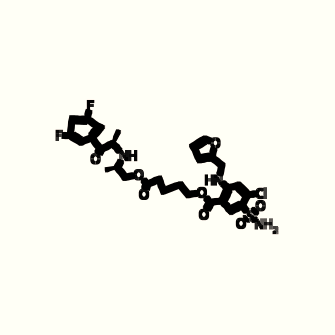 C[C@H](COC(=O)CCCCOC(=O)c1cc(S(N)(=O)=O)c(Cl)cc1NCc1ccco1)N[C@H](C)C(=O)c1cc(F)cc(F)c1